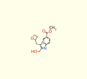 COC(=O)c1ccc2nc(CO)c(CC3CCO3)n2c1